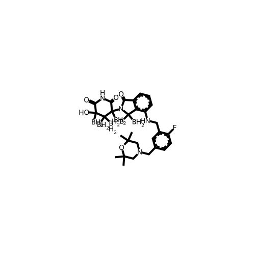 BC1(B)c2c(NCc3cc(CN4CC(C)(C)OC(C)(C)C4)ccc3F)cccc2C(=O)N1C1(B)C(=O)NC(=O)C(B)(O)C1(B)B